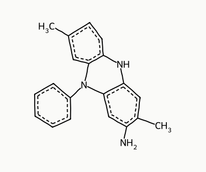 Cc1ccc2c(c1)N(c1ccccc1)c1cc(N)c(C)cc1N2